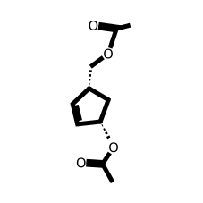 CC(=O)OC[C@H]1C=C[C@@H](OC(C)=O)C1